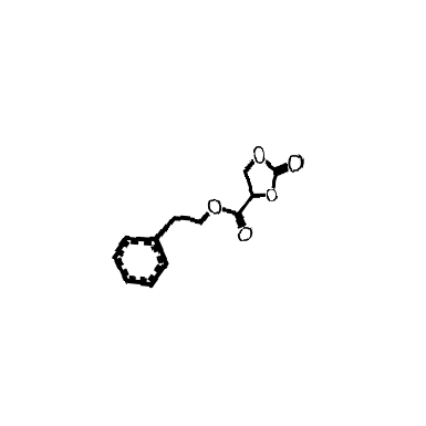 O=C1OCC(C(=O)OCCc2ccccc2)O1